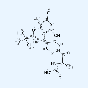 CC(NC(=O)O)C(=O)N1CCC(C(N[S+]([O-])C(C)(C)C)c2cc(Cl)c(Cl)cc2O)CC1